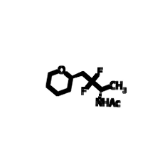 CC(=O)N[C@@H](C)C(F)(F)C[C@H]1CCCCO1